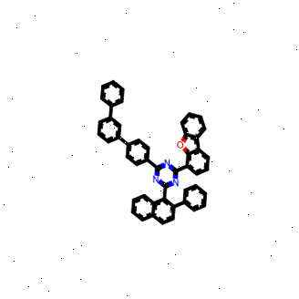 c1ccc(-c2cccc(-c3ccc(-c4nc(-c5c(-c6ccccc6)ccc6ccccc56)nc(-c5cccc6c5oc5ccccc56)n4)cc3)c2)cc1